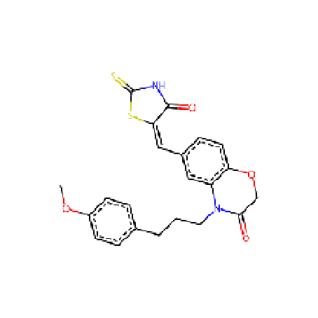 COc1ccc(CCCN2C(=O)COc3ccc(C=C4SC(=S)NC4=O)cc32)cc1